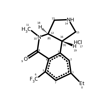 CCc1cc2c(c(C(F)(F)F)c1)C(=O)N(C)[C@H]1CNC[C@H]21.Cl